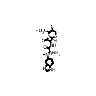 N[C@H](Nc1ccc2[nH]cnc2c1)C(=O)NC1C(=O)N2C(C(=O)O)=C(Cl)CS[C@@H]12